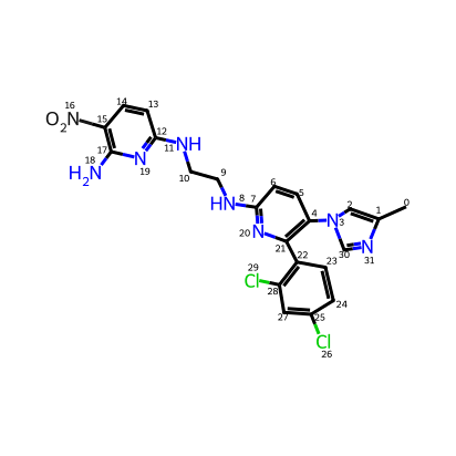 Cc1cn(-c2ccc(NCCNc3ccc([N+](=O)[O-])c(N)n3)nc2-c2ccc(Cl)cc2Cl)cn1